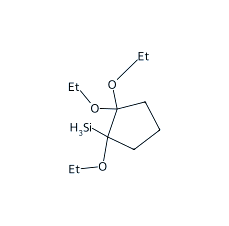 CCOC1([SiH3])CCCC1(OCC)OCC